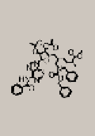 COC(=O)[C@@H](C)CC[C@@H](C[C@H]1O[C@@H](n2cnc3c(NC(=O)c4ccccc4)ncnc32)C(OC(C)=O)[C@H]1OC(C)=O)CN(Cc1ccccc1)C(=O)OCc1ccccc1